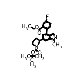 CCOC(=O)c1cc(F)ccc1-c1cc(C2CCCN(C(=O)OC(C)(C)C)C2)cc2c1cnn2C